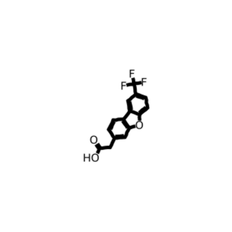 O=C(O)Cc1ccc2c(c1)oc1ccc(C(F)(F)F)cc12